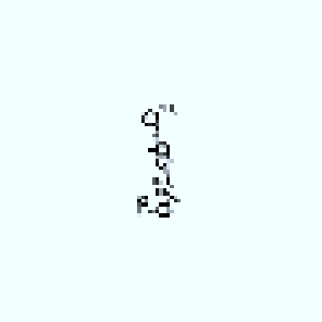 Cc1c(OCC2=CC=CCC(N)=C2)ccc2c1CCN(C[C@@H](O)CNC(=O)c1cc(NC3CCC3)ccn1)C2